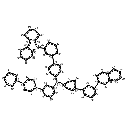 c1ccc(-c2ccc(-c3cccc(N(c4ccc(-c5cccc(-c6ccc7ccccc7c6)c5)cc4)c4ccc(-c5cccc(-n6c7ccccc7c7ccccc76)c5)cc4)c3)cc2)cc1